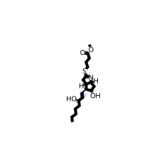 CCCCC[C@@H](O)/C=C/[C@H]1[C@@H]2CC(SCCCC(=O)OC)=N[C@@H]2C[C@@H]1O